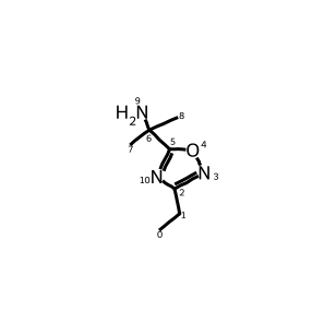 CCc1noc(C(C)(C)N)n1